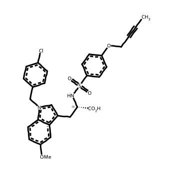 CC#CCOc1ccc(S(=O)(=O)N[C@@H](Cc2cn(Cc3ccc(Cl)cc3)c3ccc(OC)cc23)C(=O)O)cc1